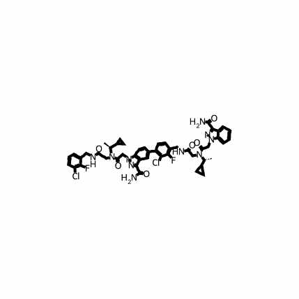 C[C@H](C1CC1)N(CC(=O)NCc1ccc(-c2ccc3c(c2)c(C(N)=O)nn3CC(=O)N(CC(=O)NCc2cccc(Cl)c2F)[C@@H](C)C2CC2)c(Cl)c1F)C(=O)Cn1nc(C(N)=O)c2ccccc21